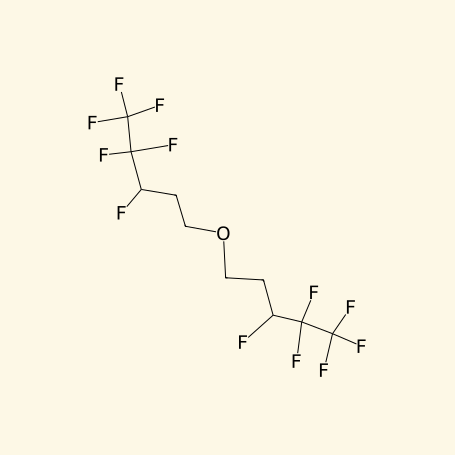 FC(CCOCCC(F)C(F)(F)C(F)(F)F)C(F)(F)C(F)(F)F